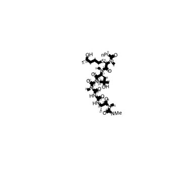 CCCC(=O)N(C)[C@H](SCCC[C@H](C)O)C(=O)N(C)[C@@H](CC(C)(C)O)C(=O)NC(=O)N(C)C(=O)NC(=O)N[C@@H](C)C(=O)N(C)C(=O)NC